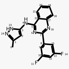 Cc1cc(Nc2nc(-c3cc(F)cc(F)c3)nc3ccccc23)[nH]n1